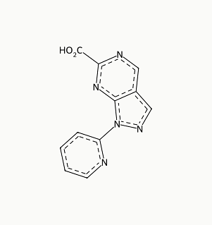 O=C(O)c1ncc2cnn(-c3ccccn3)c2n1